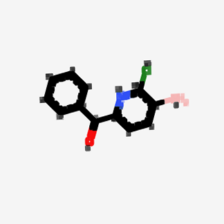 Bc1ccc(C(=O)c2ccccc2)nc1Cl